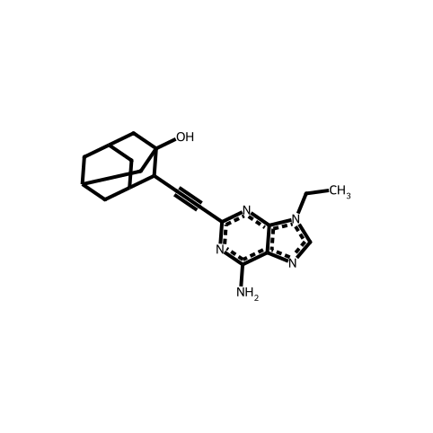 CCn1cnc2c(N)nc(C#CC3C4CC5CC(C4)CC3(O)C5)nc21